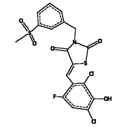 CS(=O)(=O)c1cccc(CN2C(=O)S/C(=C\c3c(F)cc(Cl)c(O)c3Cl)C2=O)c1